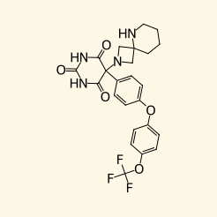 O=C1NC(=O)C(c2ccc(Oc3ccc(OC(F)(F)F)cc3)cc2)(N2CC3(CCCCN3)C2)C(=O)N1